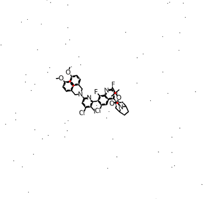 COc1ccc(CN(Cc2ccc(OC)cc2)c2cc(Cl)c(I)c(-c3c(Cl)cc4c(N5CC6CCC(C5)N6C(=O)OC(C)(C)C)nc(F)nc4c3F)n2)cc1